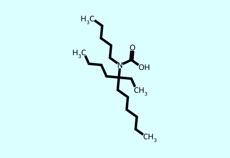 CCCCCCC(CC)(CCCC)N(CCCCC)C(=O)O